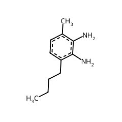 CCCCc1ccc(C)c(N)c1N